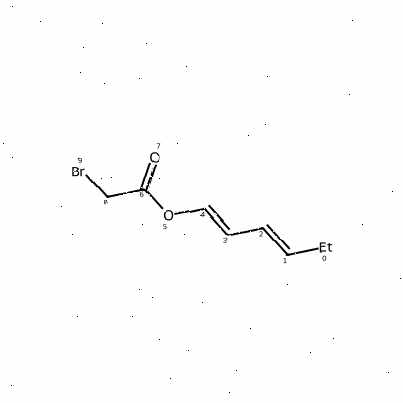 CCC=CC=COC(=O)CBr